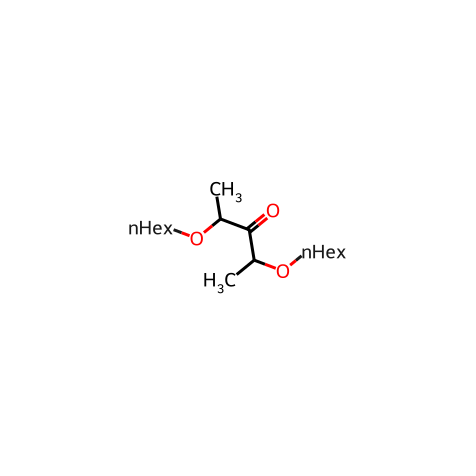 CCCCCCOC(C)C(=O)C(C)OCCCCCC